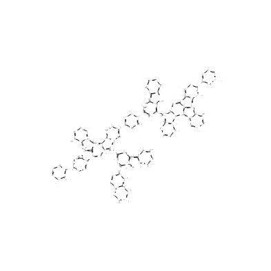 c1ccc(-c2ccc3c4cc5c(c6ccc(-c7ccc(-c8nc(-n9c%10ccccc%10c%10c%11c%12ccccc%12n%12c%13cc(-c%14ccccc%14)ccc%13c(cc%109)c%11%12)c9sc%10ccccc%10c9n8)cc7)cc6n5-c5nc(-c6ccc7ccccc7c6)c6oc7ccccc7c6n5)c5c6ccccc6n(c3c2)c45)cc1